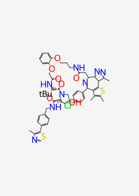 CC1=NN=C2C(CC(=O)NCCCOc3ccccc3OCC(=O)N[C@H](C(=O)N3CC(O)C[C@H]3C(=O)NCc3ccc(-c4scnc4C)cc3)C(C)(C)C)N=C(c3ccc(Cl)cc3)c3c(sc(C)c3C)C12